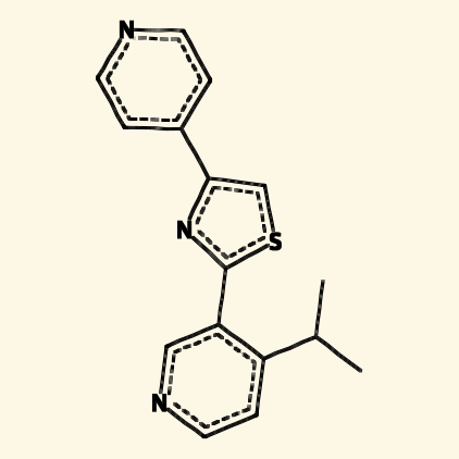 CC(C)c1ccncc1-c1nc(-c2ccncc2)cs1